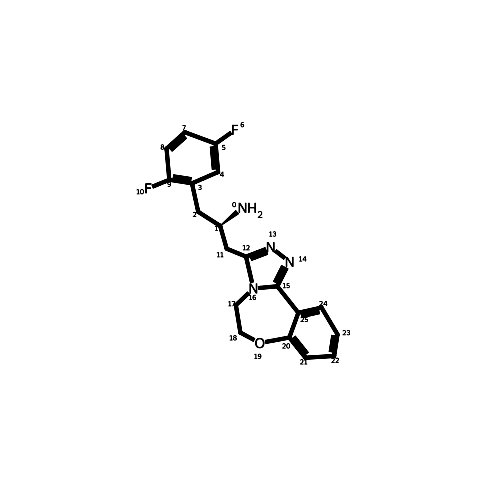 N[C@H](Cc1cc(F)ccc1F)Cc1nnc2n1CCOc1ccccc1-2